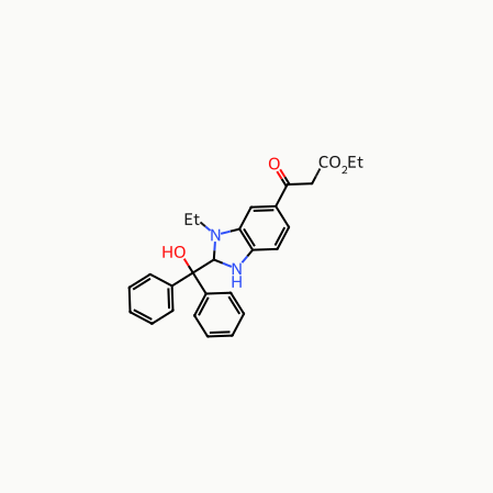 CCOC(=O)CC(=O)c1ccc2c(c1)N(CC)C(C(O)(c1ccccc1)c1ccccc1)N2